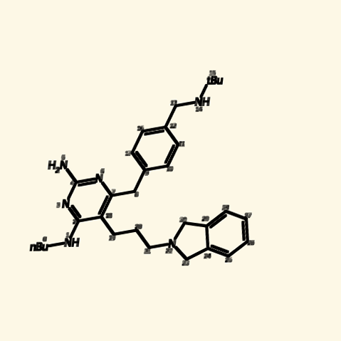 CCCCNc1nc(N)nc(Cc2ccc(CNC(C)(C)C)cc2)c1CCCN1Cc2ccccc2C1